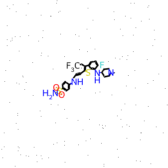 CN1CC[C@@H](Nc2cccc3c(CC(F)(F)F)c(C#CCNc4ccc(S(N)(=O)=O)cc4)sc23)[C@H](F)C1